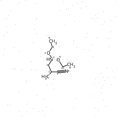 CCO[SiH](CC(C)C#N)OCC